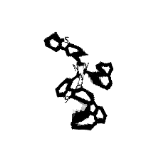 c1ccc2c(C3=NC(c4ccc5sc6ccccc6c5c4)=NC(c4cccc5sc6c7c(ccc6c45)-c4cccc5cccc-7c45)N3)cccc2c1